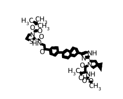 COC(=O)N[C@H](C(=O)N1CC2(CC2)C[C@H]1c1nc(-c2ccc3cc(-c4ccc(C(=O)CNC(=O)[C@@H]5SCCN5C(=O)OC(C)(C)C)cc4)ccc3c2)c[nH]1)C(C)C